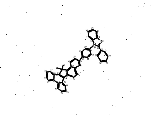 CC1(C)c2c(ccc3cc(-c4ccc(-n5c(-c6ccccc6)nc6ccccc65)cc4)ccc23)-c2c1c1ccccc1c1ccccc21